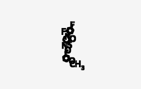 COc1cccc(COc2nc3c(s2)C(=O)N(c2ccc(F)cc2F)CC3)c1